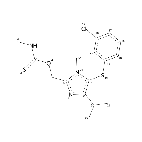 CNC(=S)OCc1nc(C(C)C)c(Sc2cccc(Cl)c2)n1C